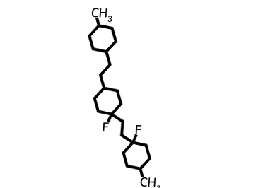 CC1CCC(CCC2CCC(F)(CCC3(F)CCC(C)CC3)CC2)CC1